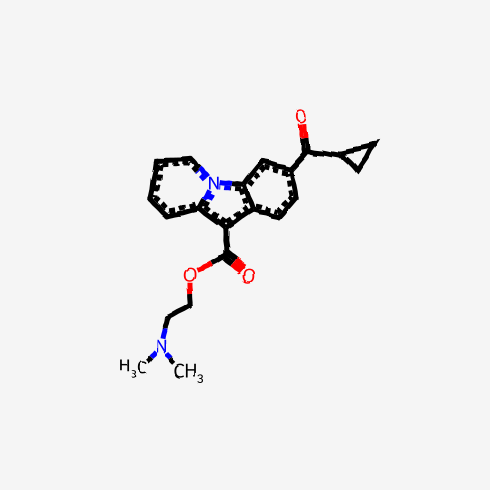 CN(C)CCOC(=O)c1c2ccc(C(=O)C3CC3)cc2n2ccccc12